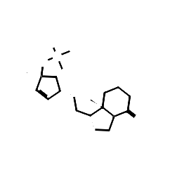 C[C@H](C[C@@H]1C=C[C@@](C)(O[Si](C)(C)C(C)(C)C)C1)[C@H]1CCC2C(=O)CCC[C@]21C